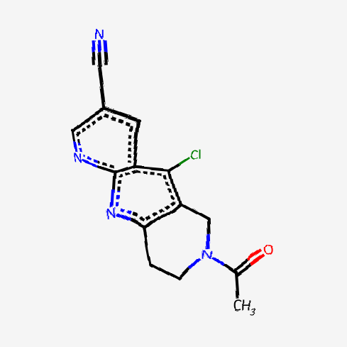 CC(=O)N1CCc2nc3ncc(C#N)cc3c(Cl)c2C1